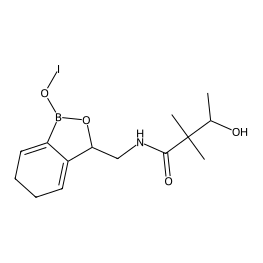 CC(O)C(C)(C)C(=O)NCC1OB(OI)C2=CCCC=C21